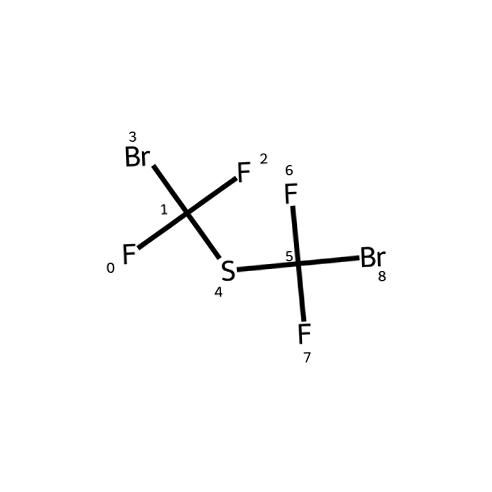 FC(F)(Br)SC(F)(F)Br